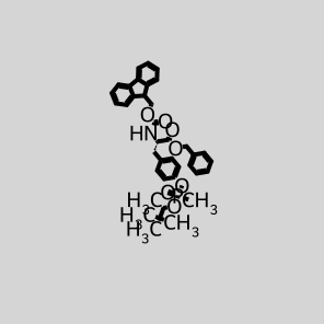 CC(OP(C)(=O)Oc1ccc(C[C@H](NC(=O)OCC2c3ccccc3-c3ccccc32)C(=O)OCc2ccccc2)cc1)C(C)(C)C